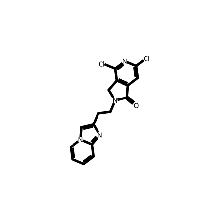 O=C1c2cc(Cl)nc(Cl)c2CN1CCc1cn2ccccc2n1